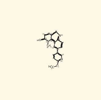 COc1ccc(-c2ccc3ncc4ccc(=O)n(C)c4c3c2)cn1